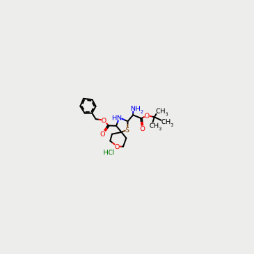 CC(C)(C)OC(=O)C(N)C1NC(C(=O)OCc2ccccc2)C2(CCOCC2)S1.Cl